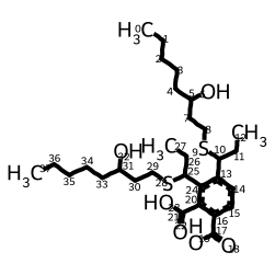 CCCCCC(O)CCSC(CC)c1ccc(C(=O)O)c(C(=O)O)c1C(CC)SCCC(O)CCCCC